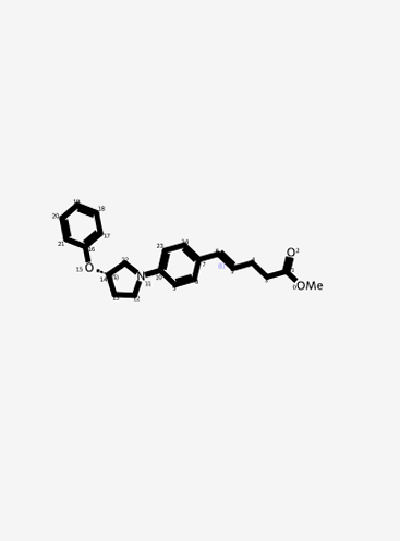 COC(=O)CC/C=C/c1ccc(N2CC[C@H](Oc3ccccc3)C2)cc1